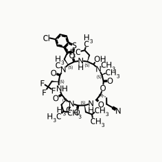 CC(C)C[C@@H]1NC(=O)[C@@H](CCC#N)OC(=O)[C@H](C)N(C)C(O)[C@H](CC(C)C)NC(=O)[C@H](Cc2csc3ccc(Cl)cc23)N(C)C(=O)[C@H](CC(F)(F)F)NC(=O)[C@H](CC(C)C)N(C)C1=O